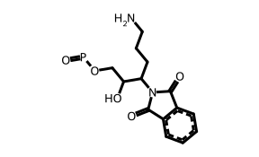 NCCCC(C(O)COP=O)N1C(=O)c2ccccc2C1=O